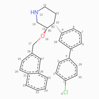 Clc1ccc(-c2cccc([C@H]3CCNC[C@@H]3OCc3ccc4ccccc4c3)c2)cc1